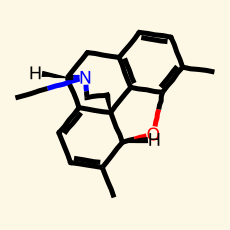 CC1=CC=C2[C@@H]3Cc4ccc(C)c5c4[C@]2(CCN3C)[C@@H]1O5